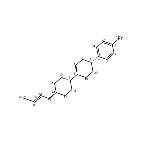 CCc1ccc([C@H]2CC[C@H]([C@H]3CC[C@H](C/C=C/F)CC3)CC2)cc1